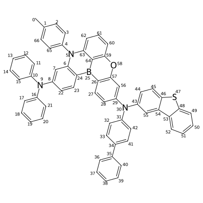 Cc1ccc(N2c3cc(N(c4ccccc4)c4ccccc4)ccc3B3c4ccc(N(c5ccc(-c6ccccc6)cc5)c5ccc6sc7ccccc7c6c5)cc4Oc4cccc2c43)cc1